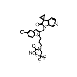 O=C(O)N(CCCn1c(CN2C(=O)C3(CC3)c3ccncc32)cc2cc(Cl)ccc21)CC(F)(F)F